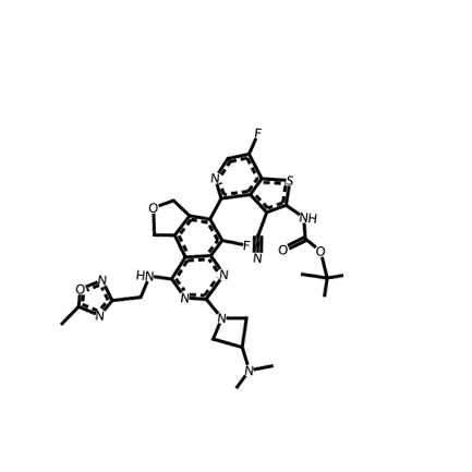 Cc1nc(CNc2nc(N3CC(N(C)C)C3)nc3c(F)c(-c4ncc(F)c5sc(NC(=O)OC(C)(C)C)c(C#N)c45)c4c(c23)COC4)no1